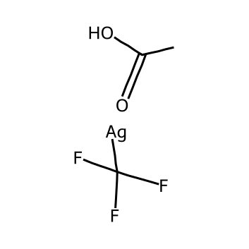 CC(=O)O.F[C](F)(F)[Ag]